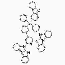 c1ccc([Si](c2ccccc2)(c2cccc(-c3cc(-n4c5ccccc5n5c6ccccc6nc45)nc(-n4c5ccccc5n5c6ccccc6nc45)c3)c2)c2ccc3oc4ccccc4c3c2)cc1